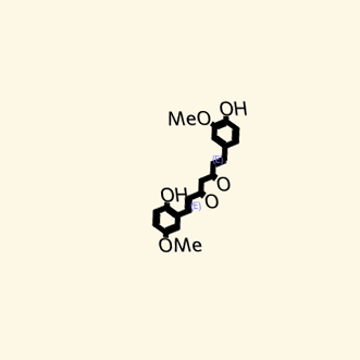 COc1ccc(O)c(/C=C/C(=O)CC(=O)/C=C/c2ccc(O)c(OC)c2)c1